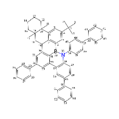 CC(C)(C)c1cc2c3c(c1)C1(C)CCCCC1(C)CC3c1cc(-c3ccccc3)cc3c1B2N(c1ccc(-c2ccccc2)cc1)c1ccc(-c2ccccc2)cc1-3